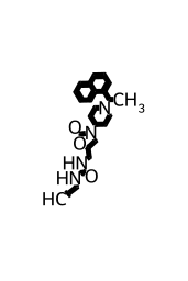 C#CCNC(=O)NCC1CN(C2CCN(C(C)c3cccc4ccccc34)CC2)C(=O)O1